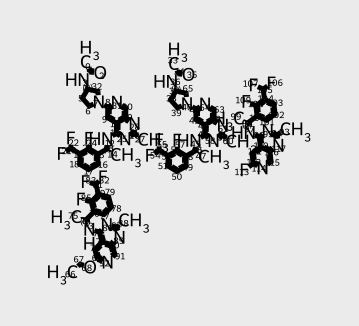 CC(=O)N[C@@H]1CCN(c2cc3c(N[C@H](C)c4cccc(C(F)F)c4F)nc(C)nc3cn2)C1.CC(=O)N[C@H]1CCN(c2cc3c(N[C@H](C)c4cccc(C(F)F)c4F)nc(C)nc3cn2)C1.CCOc1cc2c(N[C@H](C)c3cccc(C(F)F)c3F)nc(C)nc2cn1.Cc1nc(N[C@H](C)c2cccc(C(F)F)c2F)c2cc(F)ncc2n1